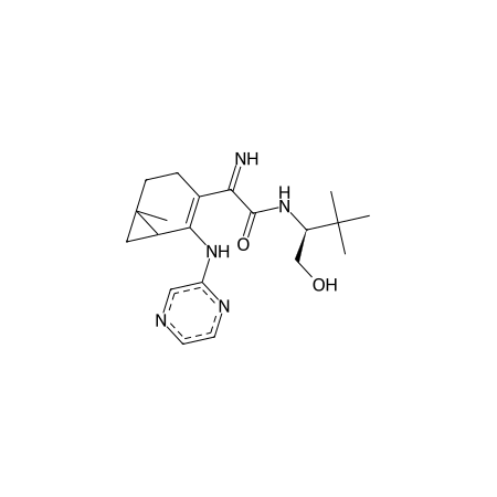 CC12CCC(C(=N)C(=O)N[C@H](CO)C(C)(C)C)=C(Nc3cnccn3)C1C2